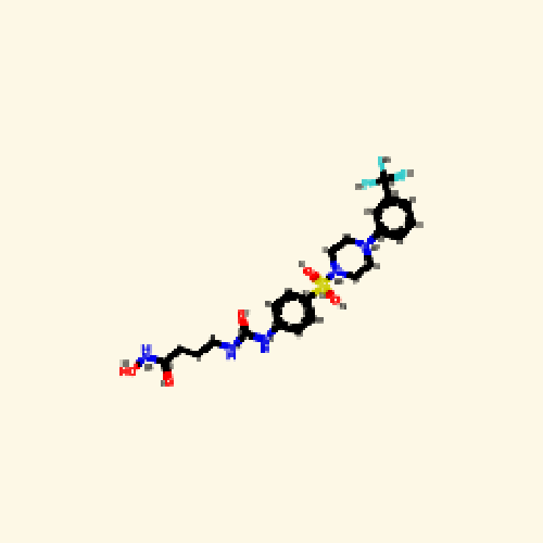 O=C(CCCNC(=O)Nc1ccc(S(=O)(=O)N2CCN(c3cccc(C(F)(F)F)c3)CC2)cc1)NO